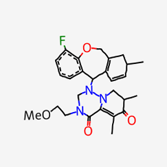 COCCN1CN(C2C3=C(COc4c(F)cccc42)CC(C)C=C3)N2CC(C)C(=O)C(C)=C2C1=O